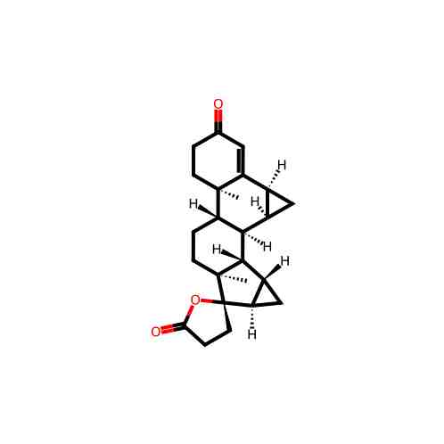 C[C@]12CCC(=O)C=C1[C@H]1C[C@H]1[C@H]1[C@@H]3[C@@H]4C[C@H]4[C@@]4(CCC(=O)O4)[C@@]3(C)CC[C@@H]12